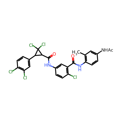 CC(=O)Nc1ccc(NC(=O)c2cc(NC(=O)C3C(c4ccc(Cl)c(Cl)c4)C3(Cl)Cl)ccc2Cl)c(C)c1